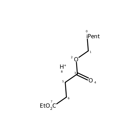 CCCC(C)COC(=O)CCC(=O)OCC.[H+]